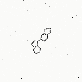 C1=CC(c2ccc3ccccc3c2)c2ccccc21